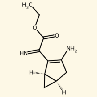 CCOC(=O)C(=N)C1=C(N)C[C@H]2C[C@@H]12